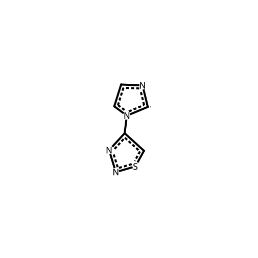 [c]1nccn1-c1csnn1